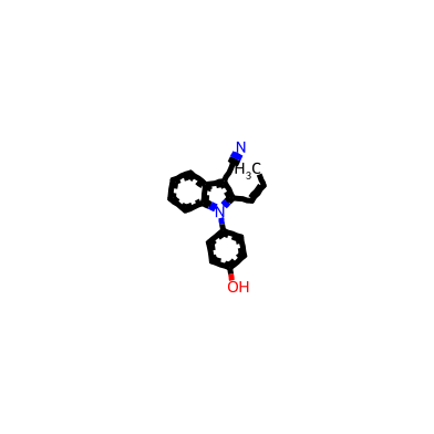 C/C=C\c1c(C#N)c2ccccc2n1-c1ccc(O)cc1